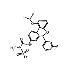 CCS(=O)(=O)N(C)C(=O)Nc1ccc2c(c1)C(c1cccc(F)c1)Oc1cccc(OC(F)F)c1-2